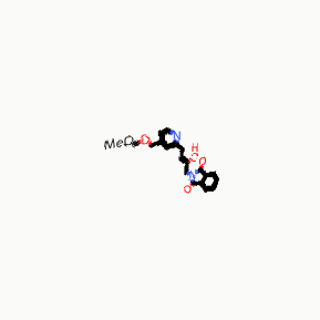 COCOCc1ccnc(C/C=C(\O)CN2C(=O)c3ccccc3C2=O)c1